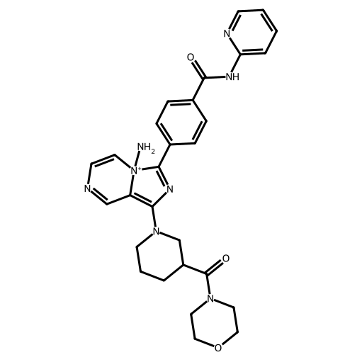 N[N+]12C=CN=CC1=C(N1CCCC(C(=O)N3CCOCC3)C1)N=C2c1ccc(C(=O)Nc2ccccn2)cc1